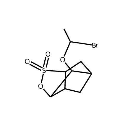 CC(Br)OC1C2CC3C1OS(=O)(=O)C3C2